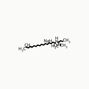 CCC[C](NC(=O)CCCCCCCCCCCCCCC(C)C)N(C)C.[NaH]